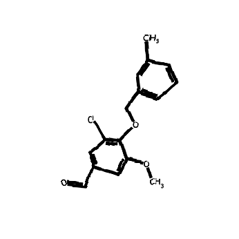 COc1cc(C=O)cc(Cl)c1OCc1cccc(C)c1